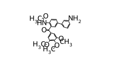 COc1cc(C(=O)c2cc(-c3cccc(N)c3)ccc2NC(C)=O)cc(OC)c1OC